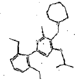 CCc1cccc(CC)c1-c1cc(OC(C)C)c(CN2CCCCCC2)c(C)n1